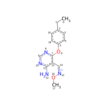 CCc1ccc(Oc2ncnc(N)c2/C=N\OC)cc1